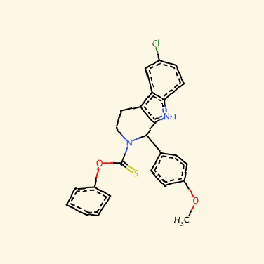 COc1ccc(C2c3[nH]c4ccc(Cl)cc4c3CCN2C(=S)Oc2ccccc2)cc1